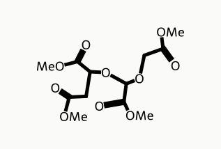 COC(=O)COC(OC(CC(=O)OC)C(=O)OC)C(=O)OC